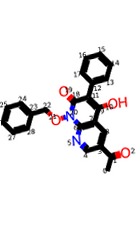 CC(=O)c1cnc2c(c1)c(O)c(-c1ccccc1)c(=O)n2OCc1ccccc1